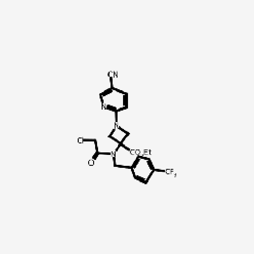 CCOC(=O)C1(N(Cc2ccc(C(F)(F)F)cc2)C(=O)CCl)CN(c2ccc(C#N)cn2)C1